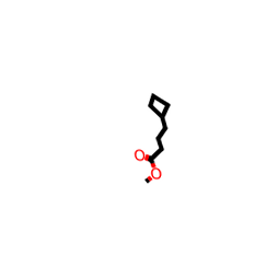 COC(=O)CCCC1CCC1